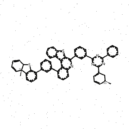 C[C@H]1C=CC=C(c2nc(-c3ccccc3)nc(-c3cccc(-c4nc5cccc(-c6cccc(-c7cccc8c7SC7C=CC=C[C@@]87C)c6)c5c5c4sc4ccccc45)c3)n2)C1